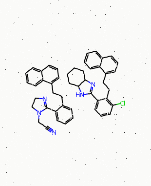 Clc1cccc(C2=NC3CCCCC3N2)c1CCc1cccc2ccccc12.N#CCN1CCN=C1c1ccccc1CCc1cccc2ccccc12